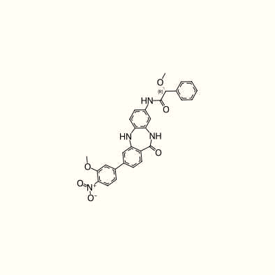 COc1cc(-c2ccc3c(c2)Nc2ccc(NC(=O)[C@H](OC)c4ccccc4)cc2NC3=O)ccc1[N+](=O)[O-]